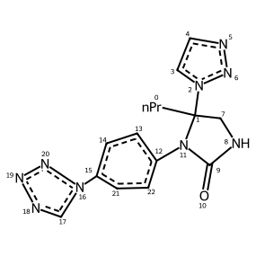 CCCC1(n2ccnn2)CNC(=O)N1c1ccc(-n2cnnn2)cc1